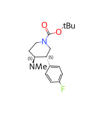 CN[C@H]1CCN(C(=O)OC(C)(C)C)C[C@@H]1c1ccc(F)cc1